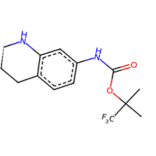 CC(C)(OC(=O)Nc1ccc2c(c1)NCCC2)C(F)(F)F